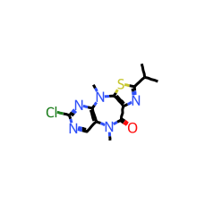 CC(C)c1nc2c(s1)N(C)c1nc(Cl)ncc1N(C)C2=O